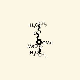 COc1cc(/C=C/C(=O)OCC=C(C)C)cc(OC)c1OCC=C(C)C